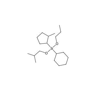 CCCO[Si](OCC(C)C)(C1CCCCC1)C1CCCC1C